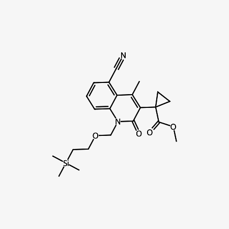 COC(=O)C1(c2c(C)c3c(C#N)cccc3n(COCC[Si](C)(C)C)c2=O)CC1